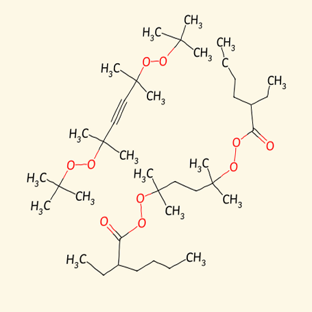 CC(C)(C)OOC(C)(C)C#CC(C)(C)OOC(C)(C)C.CCCCC(CC)C(=O)OOC(C)(C)CCC(C)(C)OOC(=O)C(CC)CCCC